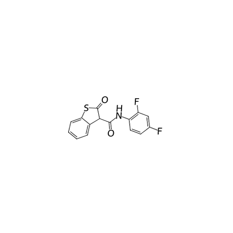 O=C(Nc1ccc(F)cc1F)C1C(=O)Sc2ccccc21